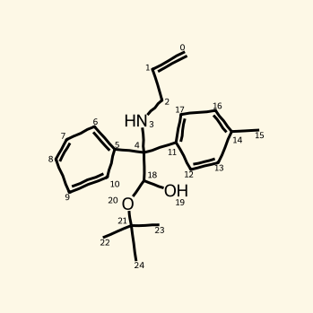 C=CCNC(c1ccccc1)(c1ccc(C)cc1)C(O)OC(C)(C)C